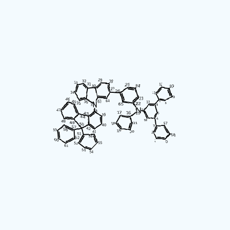 c1ccc(-c2cc(-c3ccccc3)cc(N(c3ccccc3)c3cccc(-c4ccc5c6ccccc6n(-c6cccc7c6-c6ccccc6C7(c6ccccc6)c6ccccc6)c5c4)c3)c2)cc1